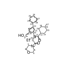 CC[C@@H](C(=O)N1CCOCC1)N(C(=O)C1CCC(C)CC1)c1cc(-c2ccccc2)sc1C(=O)O